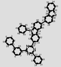 c1ccc(-c2cccc(-c3nc(-c4ccccc4)nc(-c4ccc5c6cc(-c7ccc8sc9ccccc9c8c7)ccc6n(-c6ccccc6)c5c4)n3)c2)cc1